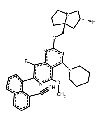 C#Cc1cccc2cccc(-c3nc(OC)c4c(N5CCCCC5)nc(OC[C@@]56CCCN5C[C@H](F)C6)nc4c3F)c12